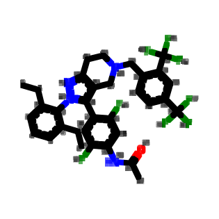 CCc1cccc(CC)c1-n1nc2c(c1-c1cc(F)c(NC(C)=O)cc1F)CN(Cc1ccc(C(F)(F)F)cc1C(F)(F)F)CC2